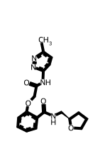 Cc1ccc(NC(=O)COc2ccccc2C(=O)NC[C@H]2CCCO2)nn1